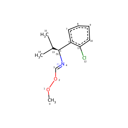 COO/C=N/[C@H](c1ccccc1Cl)C(C)C